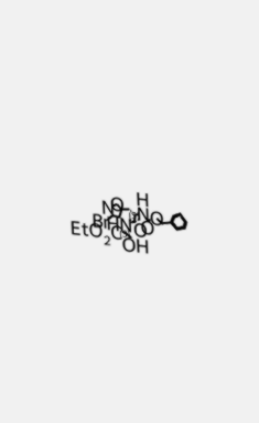 CCOC(=O)[C@H](CO)NC(=O)[C@H](CC1CC(Br)=NO1)NC(=O)OCc1ccccc1